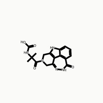 CC(C)(NC(=O)O)C(=O)N1CC2=NNC(=O)c3cccc4[nH]c(c2c34)C1